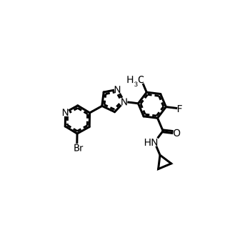 Cc1cc(F)c(C(=O)NC2CC2)cc1-n1cc(-c2cncc(Br)c2)cn1